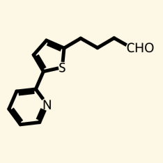 O=CCCCc1ccc(-c2ccccn2)s1